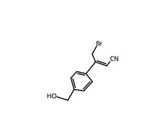 N#C/C=C(\CBr)c1ccc(CO)cc1